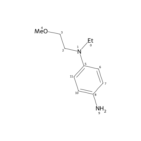 CCN(CCOC)c1ccc(N)cc1